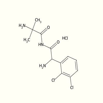 CC(C)(N)C(=O)NC(=O)C(N)c1cccc(Cl)c1Cl.Cl